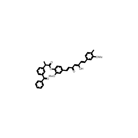 COc1cc(/C=C/C(O)=C/C(=O)/C=C/c2ccc(OC(=O)C(C)c3cccc(C(=O)c4ccccc4)c3)c(OC)c2)ccc1C